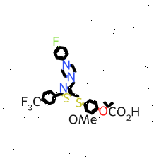 COc1cc(SCc2sc(-c3ccc(C(F)(F)F)cc3)nc2CN2CCN(c3ccc(F)cc3)CC2)ccc1OC(C)(C)C(=O)O